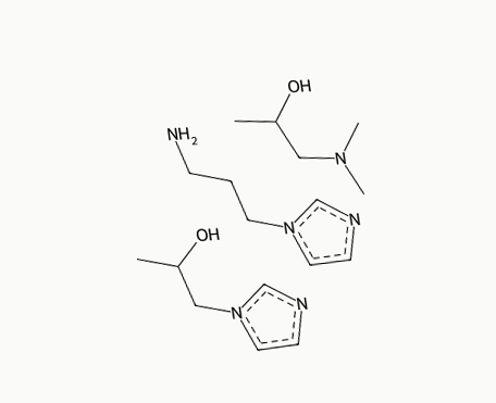 CC(O)CN(C)C.CC(O)Cn1ccnc1.NCCCn1ccnc1